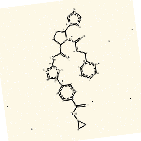 O=C(NC1CC1)c1ccc(-c2csc(NC(=O)C3CSC(c4cncs4)N3C(=O)OCc3ccccc3)n2)cc1